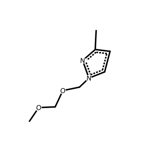 COCOCn1ccc(C)n1